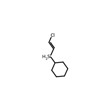 ClC=C[SiH2]C1CCCCC1